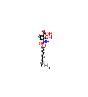 CCCCCCCCCCOC(=O)Nc1cccc(C(=O)O)c1O